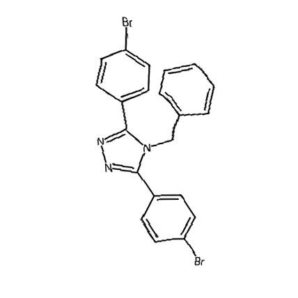 Brc1ccc(-c2nnc(-c3ccc(Br)cc3)n2Cc2ccccc2)cc1